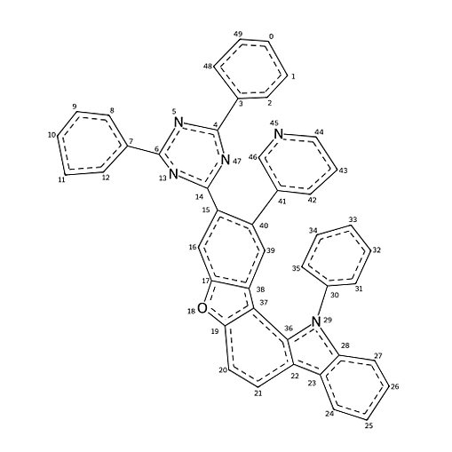 c1ccc(-c2nc(-c3ccccc3)nc(-c3cc4oc5ccc6c7ccccc7n(-c7ccccc7)c6c5c4cc3-c3cccnc3)n2)cc1